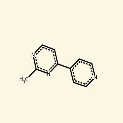 Cc1nccc(-c2ccncc2)n1